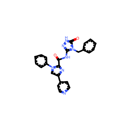 O=C(Nc1n[nH]c(=O)n1Cc1ccccc1)c1nc(-c2ccncc2)cn1-c1ccccc1